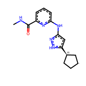 CNC(=O)c1cccc(Nc2cc([C@H]3C[CH]CC3)[nH]n2)n1